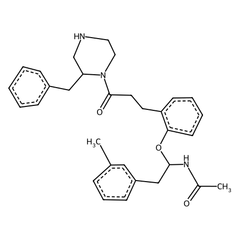 CC(=O)NC(Cc1cccc(C)c1)Oc1ccccc1CCC(=O)N1CCNCC1Cc1ccccc1